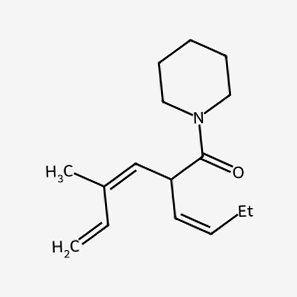 C=CC(C)=CC(/C=C\CC)C(=O)N1CCCCC1